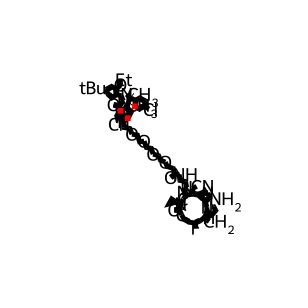 C=C1/C=C(F)\C=C/CC(=O)N(C2CC2)Cc2nn(CCNC(=O)CCOCCOCCOCCOCCN3CCN(C(=O)N4C(c5ccc(C(C)(C)C)cc5OCC)=N[C@@](C)(c5ccc(Cl)cc5)[C@@]4(C)c4ccc(Cl)cc4)CC3)c(C#N)c2-c2cnc(N)c(c2)N2CCC[C@H]12